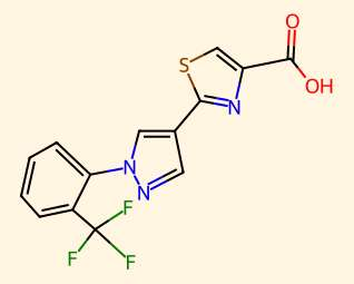 O=C(O)c1csc(-c2cnn(-c3ccccc3C(F)(F)F)c2)n1